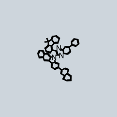 CC1(C)c2ccccc2-c2c(-c3nc4cc(-c5ccccc5)ccc4nc3-n3c4cc(-c5ccc6ccccc6c5)ccc4c4cc5ccccc5cc43)cccc21